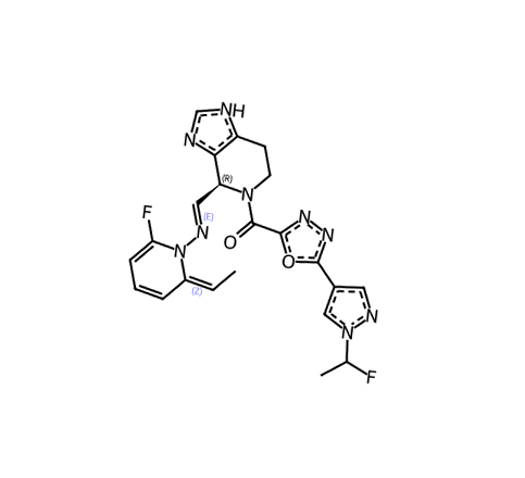 C/C=C1/C=CC=C(F)N1/N=C/[C@H]1c2nc[nH]c2CCN1C(=O)c1nnc(-c2cnn(C(C)F)c2)o1